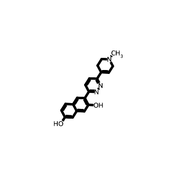 CN1CC=C(c2ccc(-c3cc4ccc(O)cc4cc3O)nn2)CC1